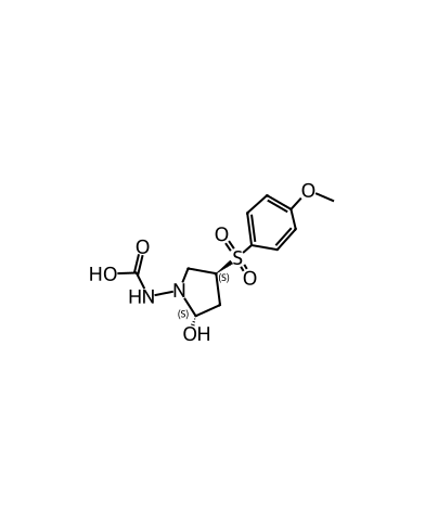 COc1ccc(S(=O)(=O)[C@H]2C[C@H](O)N(NC(=O)O)C2)cc1